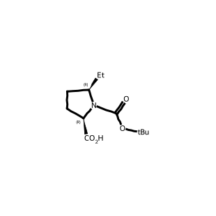 CC[C@@H]1CC[C@H](C(=O)O)N1C(=O)OC(C)(C)C